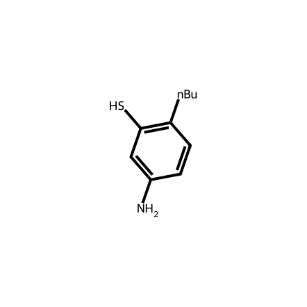 CCCCc1ccc(N)cc1S